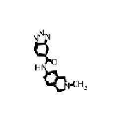 CN1CCc2ccc(NC(=O)C3=CC=C4N=NN=C4C3)cc2C1